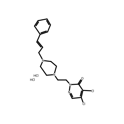 Cl.Cl.O=c1c(Cl)c(Cl)cnn1CCN1CCN(CC=Cc2ccccc2)CC1